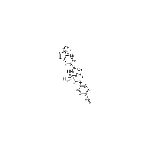 Cn1ccc2cc(C(=O)NC(C)(C)COc3ccc(C#N)cn3)cnc21